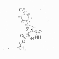 CCOC(=O)c1n[nH]c(=O)c2c1SC(c1ccc(Cl)cc1)C2